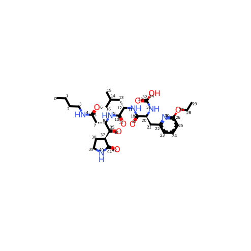 CCCCNC(=O)C[C@H](NC(=O)[C@H](CC(C)C)NC(=O)[C@H](Cc1cccc(OCC)n1)NC(=O)O)C(=O)[C@@H]1CCNC1=O